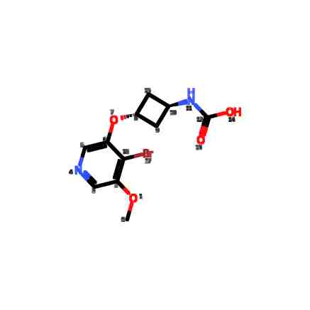 COc1cncc(O[C@H]2C[C@H](NC(=O)O)C2)c1Br